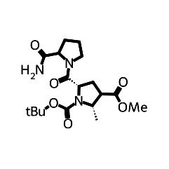 COC(=O)C1C[C@@H](C(=O)N2CCCC2C(N)=O)N(C(=O)OC(C)(C)C)[C@H]1C